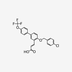 O=C(O)C=Cc1cc(-c2ccc(OC(F)(F)F)cc2)ccc1OCc1ccc(Cl)cc1